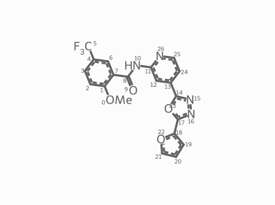 COc1ccc(C(F)(F)F)cc1C(=O)Nc1cc(-c2nnc(-c3ccco3)o2)ccn1